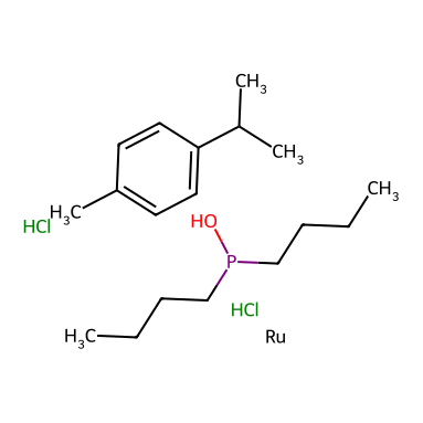 CCCCP(O)CCCC.Cc1ccc(C(C)C)cc1.Cl.Cl.[Ru]